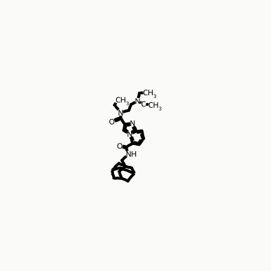 CCN(CC)CCN(CC)C(=O)c1cn2c(C(=O)NCC34CC5CC(CC(C5)C3)C4)cccc2n1